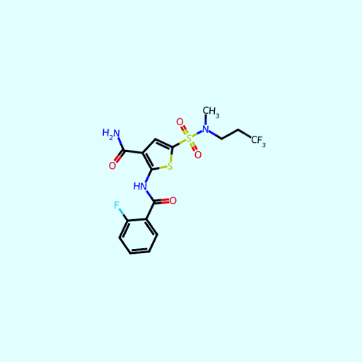 CN(CCC(F)(F)F)S(=O)(=O)c1cc(C(N)=O)c(NC(=O)c2ccccc2F)s1